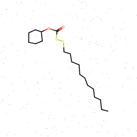 CCCCCCCCCCCCSSC(=O)OC1CCCCC1